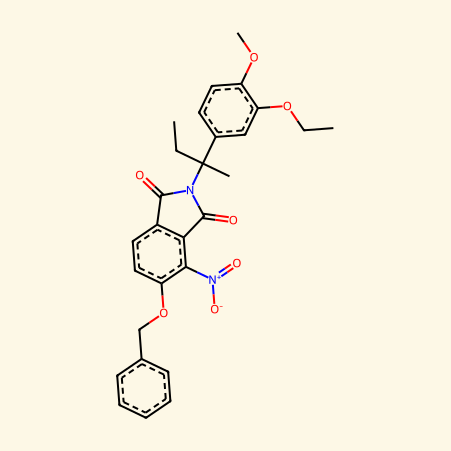 CCOc1cc(C(C)(CC)N2C(=O)c3ccc(OCc4ccccc4)c([N+](=O)[O-])c3C2=O)ccc1OC